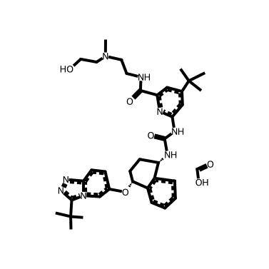 CN(CCO)CCNC(=O)c1cc(C(C)(C)C)cc(NC(=O)N[C@H]2CC[C@@H](Oc3ccc4nnc(C(C)(C)C)n4c3)c3ccccc32)n1.O=CO